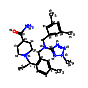 CC(C)[C@H](c1ccc(C(F)(F)F)cc1CN(Cc1cc(C(F)(F)F)cc(C(F)(F)F)c1)c1nnn(C)n1)N1CCC(C(N)=O)CC1